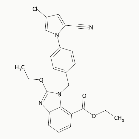 CCOC(=O)c1cccc2nc(OCC)n(Cc3ccc(-n4cc(Cl)cc4C#N)cc3)c12